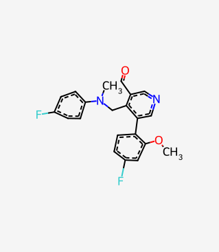 COc1cc(F)ccc1-c1cncc(C=O)c1CN(C)c1ccc(F)cc1